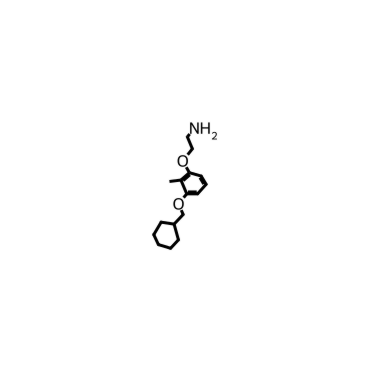 Cc1c(OCCN)cccc1OCC1CCCCC1